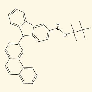 CC(C)(C)C(C)(C)OBc1ccc2c(c1)c1ccccc1n2-c1ccc2ccc3ccccc3c2c1